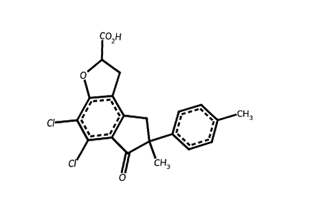 Cc1ccc(C2(C)Cc3c4c(c(Cl)c(Cl)c3C2=O)OC(C(=O)O)C4)cc1